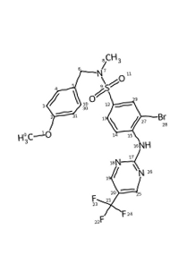 COc1ccc(CN(C)S(=O)(=O)c2ccc(Nc3ncc(C(F)(F)F)cn3)c(Br)c2)cc1